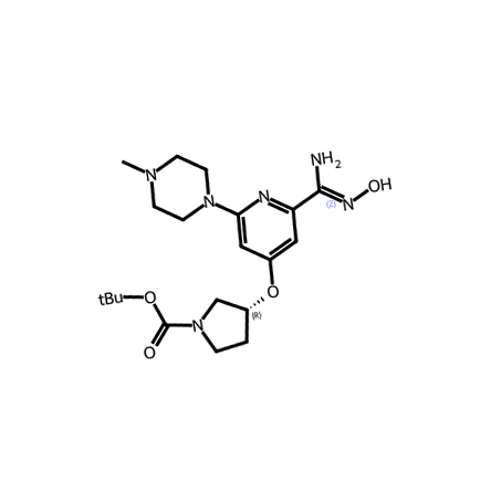 CN1CCN(c2cc(O[C@@H]3CCN(C(=O)OC(C)(C)C)C3)cc(/C(N)=N/O)n2)CC1